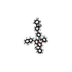 c1cc(-c2ccc3ccccc3c2)cc(N(c2ccc(-c3ccc4c(c3)oc3ccccc34)cc2)c2ccccc2-c2ccc3sc4ccccc4c3c2)c1